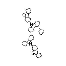 c1ccc(-c2cccc3c2c2cc(-c4ccc5c(c4)c4ccccc4n5-c4ccc5c(c4)sc4ccccc45)ccc2n3-c2ccc3oc4ccccc4c3c2)cc1